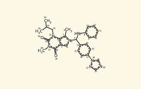 Cc1c2c(cn1C(Nc1ccccc1)c1ccc(-n3cncn3)cc1)c(=O)n(C)c(=O)n2CC(C)C